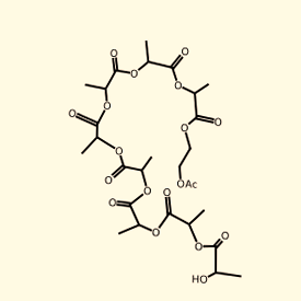 CC(=O)OCCOC(=O)C(C)OC(=O)C(C)OC(=O)C(C)OC(=O)C(C)OC(=O)C(C)OC(=O)C(C)OC(=O)C(C)OC(=O)C(C)O